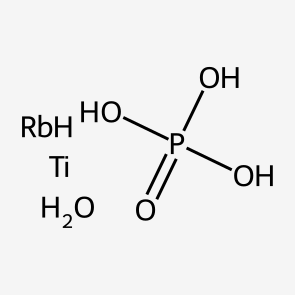 O.O=P(O)(O)O.[RbH].[Ti]